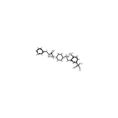 O=C(NCc1cccnc1)N[C@H]1CC[C@H](NCc2cc(C(F)(F)F)ccc2Cl)CC1